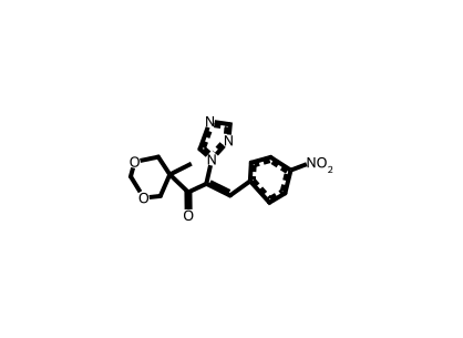 CC1(C(=O)C(=Cc2ccc([N+](=O)[O-])cc2)n2cncn2)COCOC1